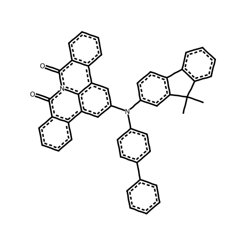 CC1(C)c2ccccc2-c2ccc(N(c3ccc(-c4ccccc4)cc3)c3cc4c5ccccc5c(=O)n5c(=O)c6ccccc6c(c3)c45)cc21